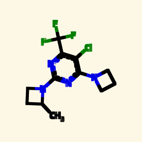 CC1CCN1c1nc(N2CCC2)c(Cl)c(C(F)(F)F)n1